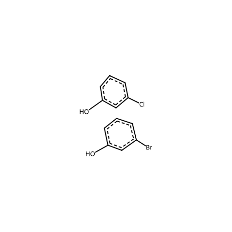 Oc1cccc(Br)c1.Oc1cccc(Cl)c1